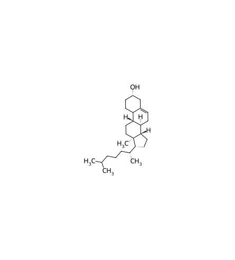 CC(C)CCC[C@@H](C)[C@H]1CC[C@H]2[C@@H]3CC=C4C[C@@H](O)CCC4[C@H]3CC[C@]12C